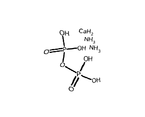 N.N.O=P(O)(O)OP(=O)(O)O.[CaH2]